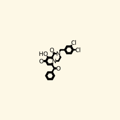 O=C(c1ccccc1)c1cc(=O)c(O)c2n1CCN(Cc1ccc(Cl)c(Cl)c1)C2=O